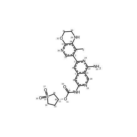 Cc1c(-c2cc3cc(NC(=O)O[C@@H]4CCS(=O)(=O)C4)ncc3c(N)n2)cnc2c1NCCO2